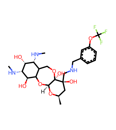 CN[C@@H]1[C@H](O)[C@H](NC)C2CO[C@]3(O)[C@H](OC2[C@H]1O)O[C@H](C)C[C@@]3(O)CNCc1cccc(OC(F)(F)F)c1